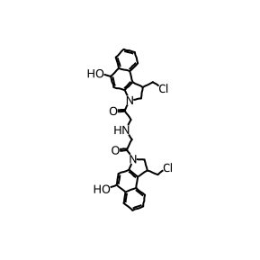 O=C(CNCC(=O)N1CC(CCl)c2c1cc(O)c1ccccc21)N1CC(CCl)c2c1cc(O)c1ccccc21